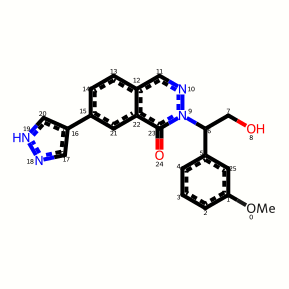 COc1cccc(C(CO)n2ncc3ccc(-c4cn[nH]c4)cc3c2=O)c1